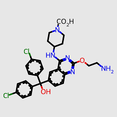 NCCOc1nc(NC2CCN(C(=O)O)CC2)c2cc(C(O)(c3ccc(Cl)cc3)c3ccc(Cl)cc3)ccc2n1